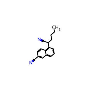 CCCCC(C#N)c1cccc2cc(C#N)ccc12